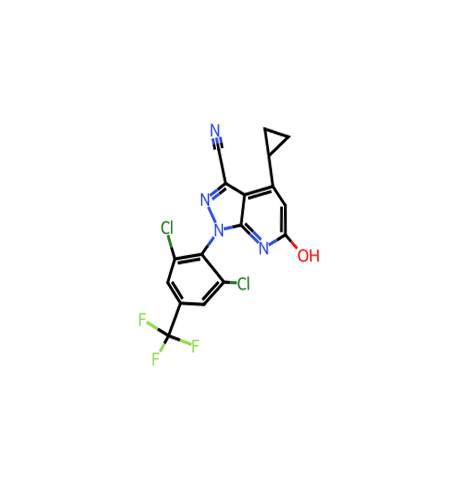 N#Cc1nn(-c2c(Cl)cc(C(F)(F)F)cc2Cl)c2nc(O)cc(C3CC3)c12